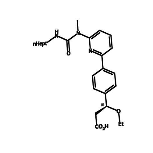 CCCCCCCNC(=O)N(C)c1cccc(-c2ccc([C@H](CC(=O)O)OCC)cc2)n1